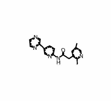 Cc1cnc(C)c(CC(=O)Nc2ccc(-c3cnccn3)cn2)c1